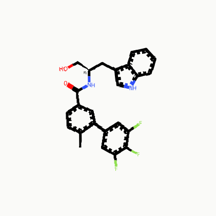 Cc1ccc(C(=O)N[C@@H](CO)Cc2c[nH]c3ccccc23)cc1-c1cc(F)c(F)c(F)c1